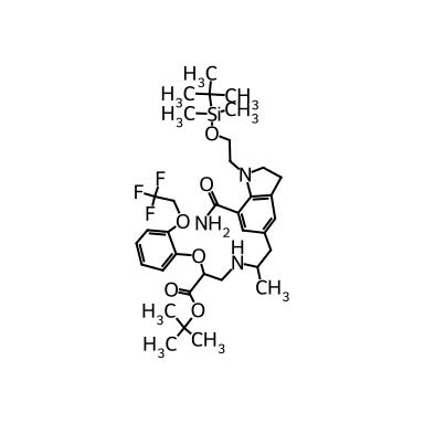 CC(Cc1cc2c(c(C(N)=O)c1)N(CCO[Si](C)(C)C(C)(C)C)CC2)NCC(Oc1ccccc1OCC(F)(F)F)C(=O)OC(C)(C)C